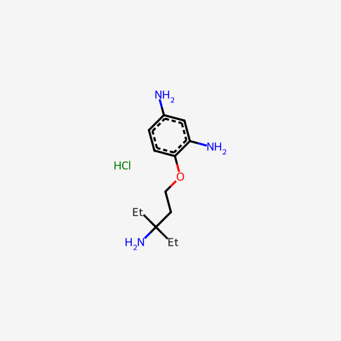 CCC(N)(CC)CCOc1ccc(N)cc1N.Cl